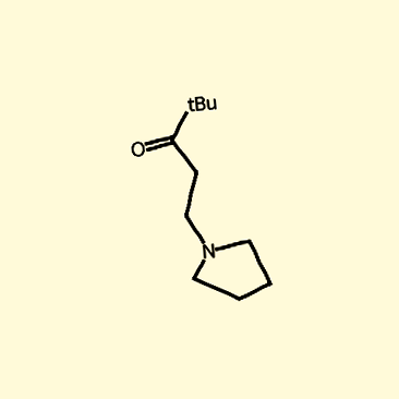 CC(C)(C)C(=O)CCN1CCCC1